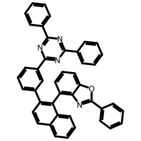 c1ccc(-c2nc(-c3ccccc3)nc(-c3cccc(-c4ccc5ccccc5c4-c4cccc5oc(-c6ccccc6)nc45)c3)n2)cc1